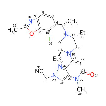 CC[C@H]1CN(C(C)c2ccc3nc(C)oc3c2F)[C@H](CC)CN1c1cc(=O)n(C)c2cn(CC#N)nc12